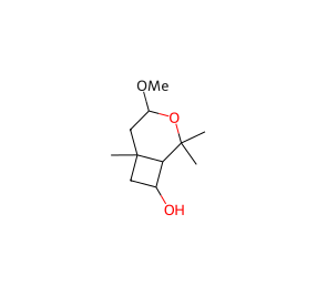 COC1CC2(C)CC(O)C2C(C)(C)O1